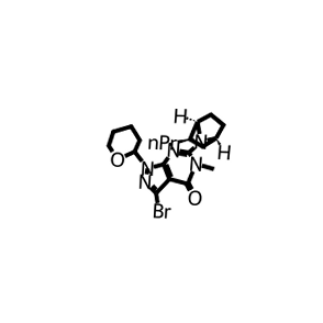 CCC[C@@H]1C[C@@H]2CC[C@H]1N2c1nc2c(c(Br)nn2C2CCCCO2)c(=O)n1C